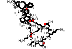 CC[C@@]1(O)C[C@@H]2CN(CCc3c([nH]c4ccccc34)[C@](C(=O)OC)(c3cc4c(cc3OC)N(C)[C@@H]3[C@](O)(C(=O)NNC(=O)OCCSSC[C@H](NC(=O)[C@H](CC(=O)O)NC(=O)[C@@H](N)CNC(=O)C(CCCCN)NC(=O)[C@H](CC(=O)O)NC(=O)C(CCCNC(=N)N)NC(=O)CCOCCOCCN)C(=O)O)[C@@H](O)[C@@]5(CC)C=CCN6CC[C@@]43[C@H]65)C2)C1